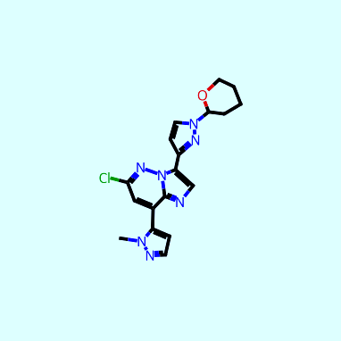 Cn1nccc1-c1cc(Cl)nn2c(-c3ccn(C4CCCCO4)n3)cnc12